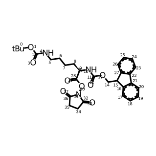 CC(C)(C)OC(=O)NCCCC[C@@H](NC(=O)OCC1c2ccccc2-c2ccccc21)C(=O)ON1C(=O)CCC1=O